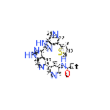 CCC(=O)Nc1cncc(-c2cc3c(-c4nc5c(-c6cccs6)cncc5[nH]4)n[nH]c3cn2)c1